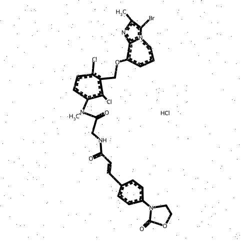 Cc1nc2c(OCc3c(Cl)ccc(N(C)C(=O)CNC(=O)C=Cc4ccc(N5CCOC5=O)cc4)c3Cl)cccn2c1Br.Cl